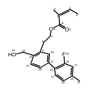 C/C=C(/C)C(=O)OCCc1cc(-c2ccc(C)cc2F)ccc1CO